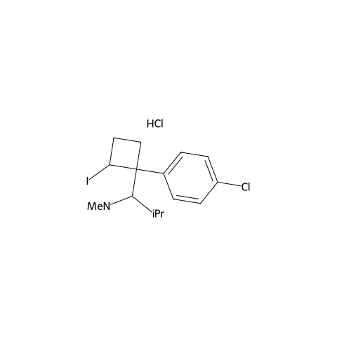 CNC(C(C)C)C1(c2ccc(Cl)cc2)CCC1I.Cl